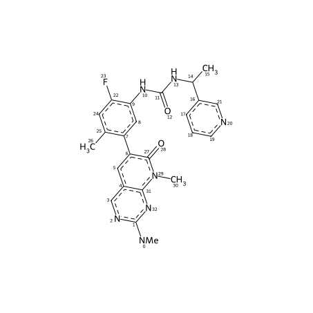 CNc1ncc2cc(-c3cc(NC(=O)NC(C)c4cccnc4)c(F)cc3C)c(=O)n(C)c2n1